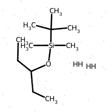 CCC(CC)O[Si](C)(C)C(C)(C)C.[HH].[HH]